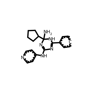 NC1(C2CCCC2)N=C(Nc2ccncc2)N=C(c2ccccc2)N1